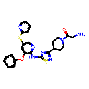 NCC(=O)N1CCC(c2nsc(Nc3ncc(Sc4ccccn4)cc3Oc3ccccc3)n2)CC1